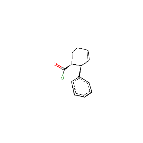 O=C(Cl)[C@H]1CCC=C[C@H]1c1ccccc1